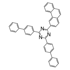 c1ccc(-c2ccc(-c3nc(-c4ccc(-c5ccccc5)cc4)nc(-c4ccc5ccc6ccccc6c5c4)n3)cc2)cc1